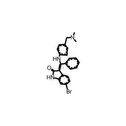 CN(C)Cc1ccc(N/C(=C2\C(=O)Nc3cc(Br)ccc32)c2ccccc2)cc1